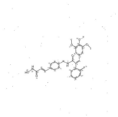 COc1cc(C=C(C(=O)NCc2ccc(C=CC(=O)NO)cc2)c2ccccc2F)cc(OC)c1OC